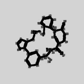 CNCc1ccsc1-c1cccc([C@@H](C)NC(=O)c2ccc(=O)n(-c3ccccc3F)c2)c1